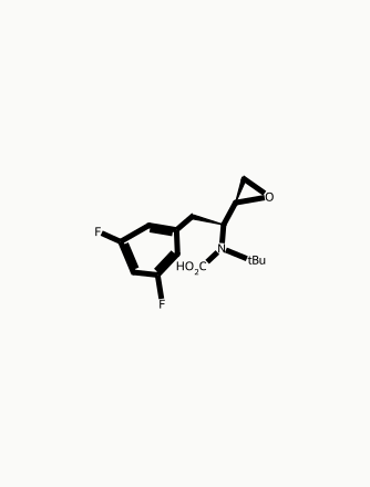 CC(C)(C)N(C(=O)O)[C@@H](Cc1cc(F)cc(F)c1)[C@H]1CO1